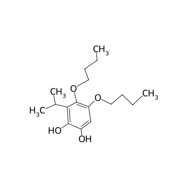 CCCCOc1cc(O)c(O)c(C(C)C)c1OCCCC